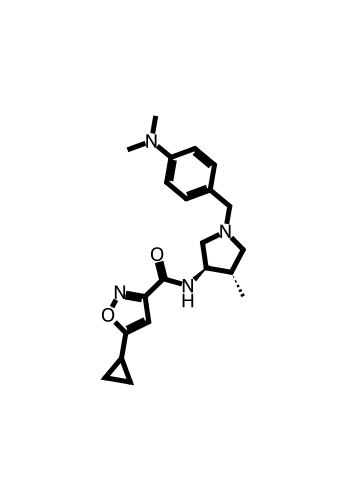 C[C@H]1CN(Cc2ccc(N(C)C)cc2)C[C@@H]1NC(=O)c1cc(C2CC2)on1